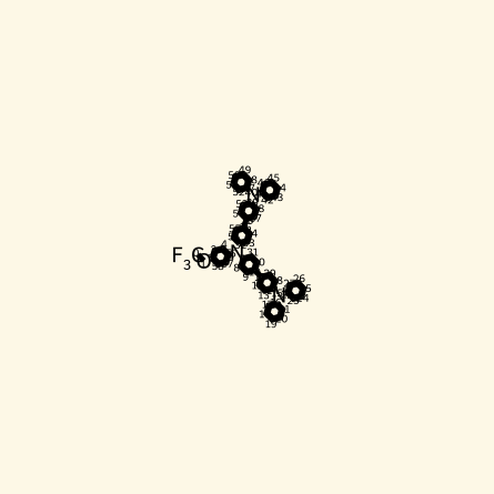 FC(F)(F)Oc1ccc(N(c2ccc(-c3ccc(N(c4ccccc4)c4ccccc4)cc3)cc2)c2ccc(-c3ccc(N(c4ccccc4)c4ccccc4)cc3)cc2)cc1